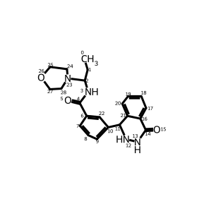 CCC(NC(=O)c1cccc(C2NNC(=O)c3ccccc32)c1)N1CCOCC1